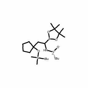 CC(C)(C)[S@@+]([O-])NC(CC1(O[Si](C)(C)C(C)(C)C)CCCC1)B1OC(C)(C)C(C)(C)O1